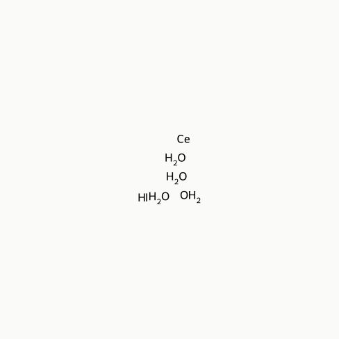 I.O.O.O.O.[Ce]